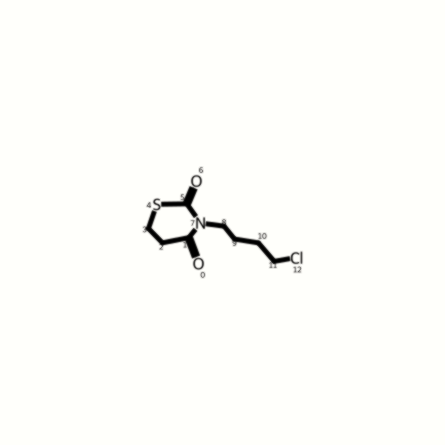 O=C1CCSC(=O)N1CCCCCl